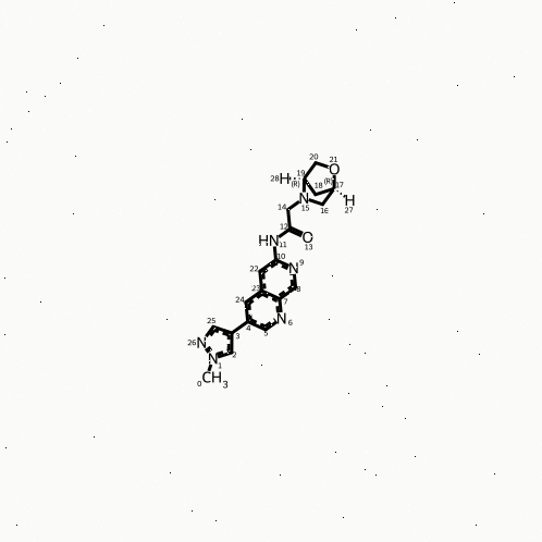 Cn1cc(-c2cnc3cnc(NC(=O)CN4C[C@H]5C[C@@H]4CO5)cc3c2)cn1